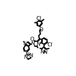 Cc1cc(OCCCc2c3n(c4c(-c5c(C)nn(C)c5C)c(Cl)ccc24)C(C)CN(c2cn(C)c4ccc(-n5nccn5)cc24)C3=O)cc(C)c1Cl